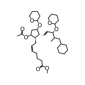 COC(=O)CCC/C=C\C[C@@H]1[C@@H](/C=C/[C@@H](OC2CCCCO2)C(C)CC2CCCCC2)[C@H](OC2CCCCO2)C[C@@H]1OC(C)=O